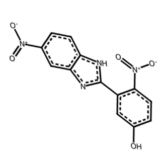 O=[N+]([O-])c1ccc2[nH]c(-c3cc(O)ccc3[N+](=O)[O-])nc2c1